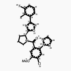 COc1cc(C(=O)N2CCC[C@H]2c2nc(-c3cccc(F)c3C)no2)c(-n2nccn2)cc1Cl